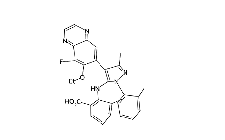 CCOc1c(-c2c(C)nn(-c3ccccc3C)c2Nc2c(C)cccc2C(=O)O)cc2nccnc2c1F